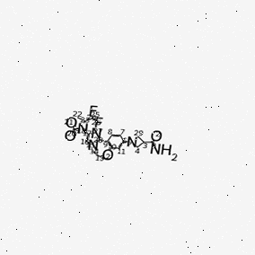 NC(=O)C1CN(c2ccc3c(c2)OCCn2cc(N4C(=O)OCC4C(F)F)nc2-3)C1